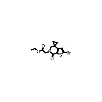 CCOC(=O)CN1CC2(CC2)c2cc(Br)sc2C1=O